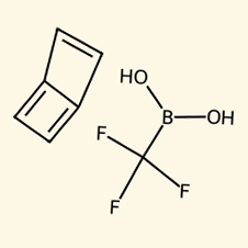 OB(O)C(F)(F)F.c1cc2ccc1-2